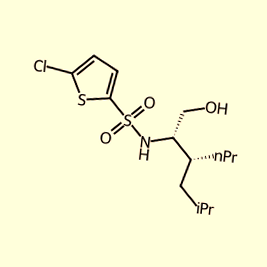 CCC[C@H](CC(C)C)[C@@H](CO)NS(=O)(=O)c1ccc(Cl)s1